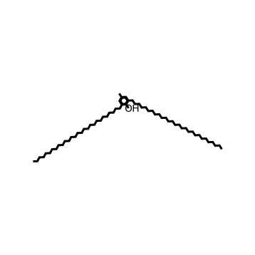 CCCCCCCCCCCCCCCCCCCCCCCCCCCCc1cc(C)cc(CCCCCCCCCCCCCCCCCCCCCCCCCCCC)c1O